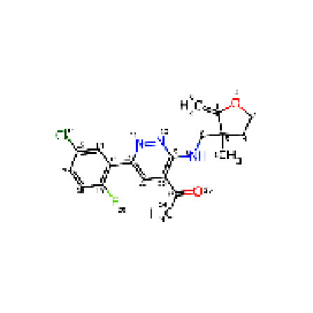 C=C1OCCC1(C)CNc1nnc(-c2cc(Cl)ccc2F)cc1C(C)=O